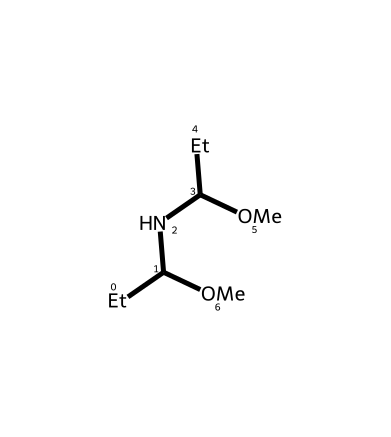 CCC(NC(CC)OC)OC